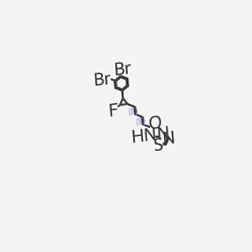 O=C(/C=C/C=C/C1C(F)C1c1ccc(Br)c(Br)c1)Nc1nncs1